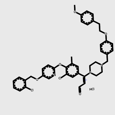 COc1ccc(CCOc2ccc(CN3CCN(/C(=C/C=O)c4cc(C)c(Oc5ccc(OCc6ccccc6Cl)cn5)c(Cl)c4)CC3)cc2)cc1.Cl